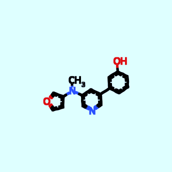 CN(c1ccoc1)c1cncc(-c2cccc(O)c2)c1